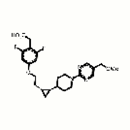 COCc1cnc(N2CCC([C@H]3C[C@@H]3CCOc3cc(F)c(CC(=O)O)c(F)c3)CC2)nc1